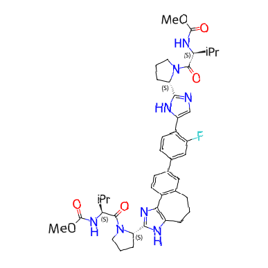 COC(=O)N[C@H](C(=O)N1CCC[C@H]1c1ncc(-c2ccc(-c3ccc4c(c3)CCCc3[nH]c([C@@H]5CCCN5C(=O)[C@@H](NC(=O)OC)C(C)C)nc3-4)cc2F)[nH]1)C(C)C